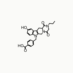 CCCN1CC(=O)N2Cc3c(c4cc(O)ccc4n3Cc3ccc(C(=O)O)cc3)CC2C1=O